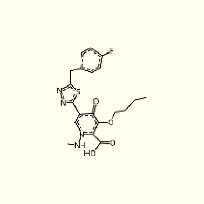 CCCCOc1c(C(=O)O)n(NC)cc(-c2nnc(Cc3ccc(F)cc3)s2)c1=O